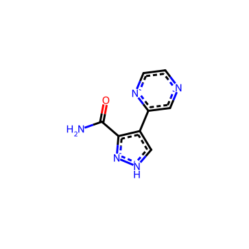 NC(=O)c1n[nH]cc1-c1cnccn1